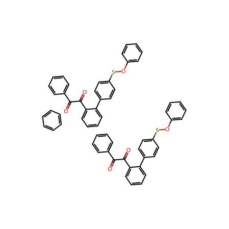 O=C(C(=O)c1ccccc1-c1ccc(SOc2ccccc2)cc1)c1ccccc1.O=C(C(=O)c1ccccc1-c1ccc(SOc2ccccc2)cc1)c1ccccc1.c1ccccc1